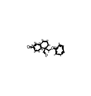 O=CC1(COc2ccccc2)CCCc2cc(Cl)ccc21